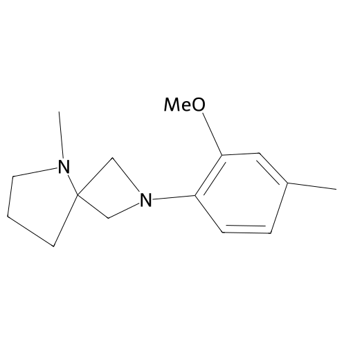 COc1cc(C)ccc1N1CC2(CCCN2C)C1